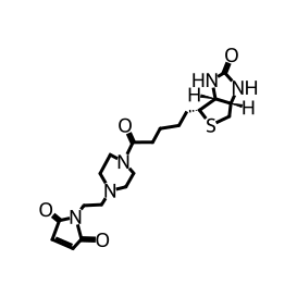 O=C1N[C@@H]2[C@@H](CS[C@@H]2CCCCC(=O)N2CCN(CCN3C(=O)C=CC3=O)CC2)N1